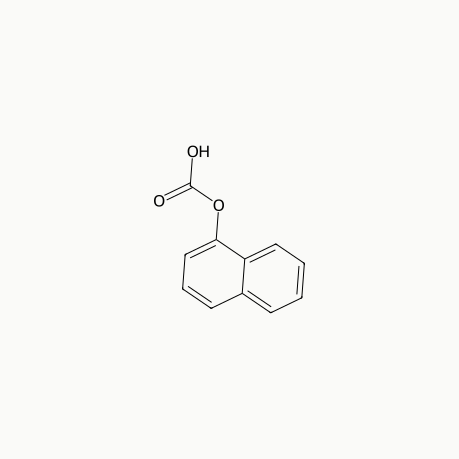 O=C(O)Oc1cccc2ccccc12